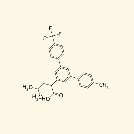 Cc1ccc(-c2cc(-c3ccc(C(F)(F)F)cc3)cc(C(CC(C)C)C(=O)O)c2)cc1